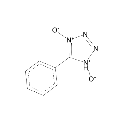 [O-][N+]1=C(c2ccccc2)[NH+]([O-])N=N1